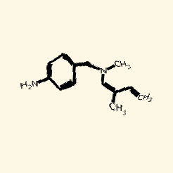 C=C/C(C)=C\N(C)Cc1ccc(N)cc1